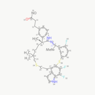 CN/C1=N\C(=N)[C@@](C)(c2cccc(CCC(=O)N=O)c2)CCC(C)(C)CSCCc2c(c(F)c(F)c3[nH]ccc23)Sc2ccc(F)c1c2